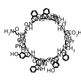 CCCC[C@H]1C(=O)N(C)CC(=O)N[C@@H](CC(=O)O)C(=O)N[C@@H](C(C)C)C(=O)N(C)[C@@H](Cc2ccccc2)C(=O)N[C@@H](Cc2ccc(O)cc2)C(=O)N(C)CC(=O)NC(C)(Cc2c[nH]c3ccccc23)C(=O)N[C@@H](Cc2ccc(O)cc2)C(=O)N[C@@H](CC(C)C)C(=O)N[C@H](C(=O)NCC(N)=O)CSCC(=O)N[C@@H](Cc2ccccc2)C(=O)N(C)[C@@H](Cc2ccccc2)C(=O)N1C